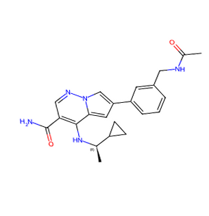 CC(=O)NCc1cccc(-c2cc3c(N[C@H](C)C4CC4)c(C(N)=O)cnn3c2)c1